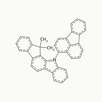 CC1(C)c2ccccc2-c2ccc3c4ccccc4n(-c4ccc5c6c(cccc46)-c4ccccc4-5)c3c21